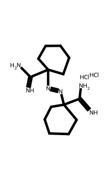 Cl.Cl.N=C(N)C1(/N=N/C2(C(=N)N)CCCCC2)CCCCC1